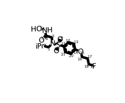 CC(C)CN(CC(=O)NO)S(=O)(=O)c1ccc(OCCCF)cc1